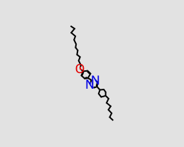 CCCCCCCCCCCCOc1ccc(-c2ncc(C3CCC(CCCCCCC)CC3)cn2)cc1